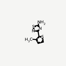 Cc1ccsc1-c1nsc(N)n1